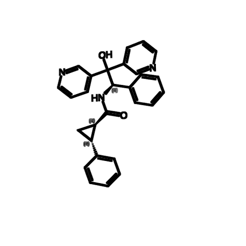 O=C(N[C@H](c1ccccc1)C(O)(c1cccnc1)c1cccnc1)[C@@H]1C[C@H]1c1ccccc1